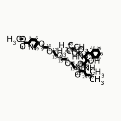 COC(=O)c1ccc(OCCOCCOCCOCCNC(=O)C(CC(C)C)NC(=O)C(O)C(Cc2ccccc2)NC(=O)OC(C)(C)C)cn1